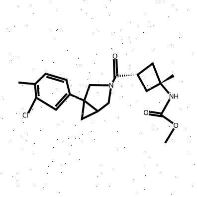 COC(=O)N[C@]1(C)C[C@H](C(=O)N2CC3CC3(c3ccc(C)c(Cl)c3)C2)C1